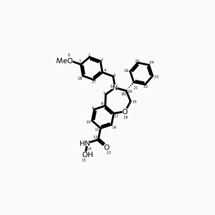 COc1ccc(CN2Cc3ccc(C(=O)NO)cc3OC[C@H]2c2ccccc2)cc1